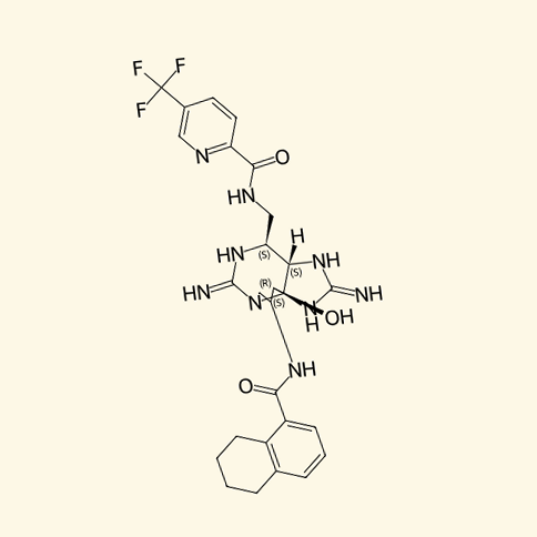 N=C1N[C@H]2[C@H](CNC(=O)c3ccc(C(F)(F)F)cn3)NC(=N)N3CC(NC(=O)c4cccc5c4CCCC5)[C@@H](O)[C@]23N1